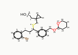 O=C(O)CC1(CS[C@H](CCc2ccccc2Br)c2cccc(COC3CCCCO3)c2)CC1